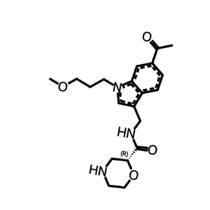 COCCCn1cc(CNC(=O)[C@H]2CNCCO2)c2ccc(C(C)=O)cc21